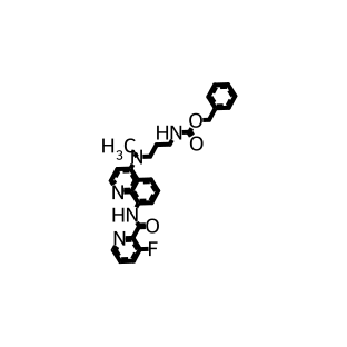 CN(CCCNC(=O)OCc1ccccc1)c1ccnc2c(NC(=O)c3ncccc3F)cccc12